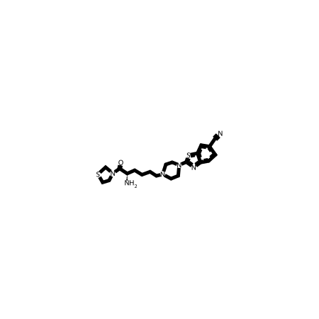 N#Cc1ccc2nc(N3CCN(CCCC[C@H](N)C(=O)N4CCSC4)CC3)sc2c1